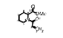 C=CC(=O)N1CCCCC1C(=O)OC